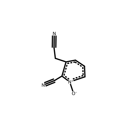 N#CCc1ccc[n+]([O-])c1C#N